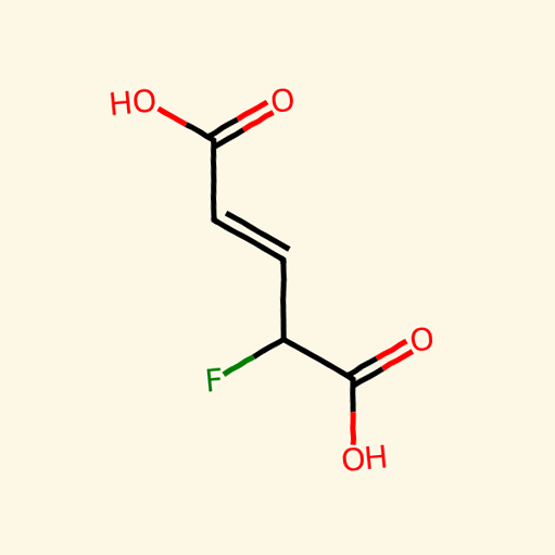 O=C(O)C=CC(F)C(=O)O